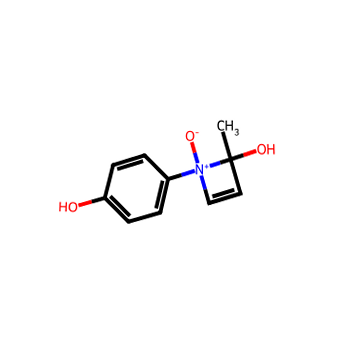 CC1(O)C=C[N+]1([O-])c1ccc(O)cc1